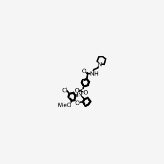 COc1cc(Cl)ccc1Oc1ccccc1NS(=O)(=O)c1ccc(C(=O)NCCN2CCCCC2)cc1